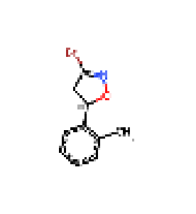 Cc1ccccc1[C@H]1CC(Br)=NO1